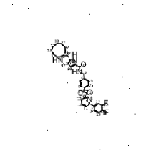 O=C(NCc1ccc(S(=O)(=O)c2cccc(-c3ccc(F)c(F)c3)n2)cc1)c1cc2c([nH]1)CC1(CCCCCCCC1)NC2